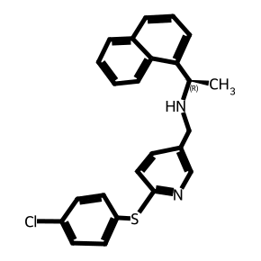 C[C@@H](NCc1ccc(Sc2ccc(Cl)cc2)nc1)c1cccc2ccccc12